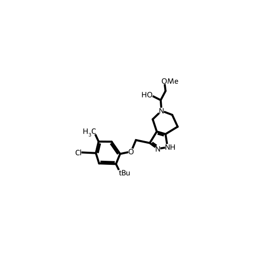 COCC(O)N1CCc2[nH]nc(COc3cc(C)c(Cl)cc3C(C)(C)C)c2C1